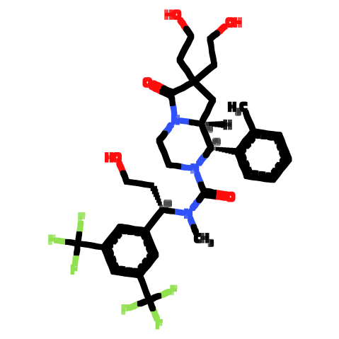 Cc1ccccc1[C@H]1[C@@H]2CC(CCO)(CCO)C(=O)N2CCN1C(=O)N(C)[C@@H](CCO)c1cc(C(F)(F)F)cc(C(F)(F)F)c1